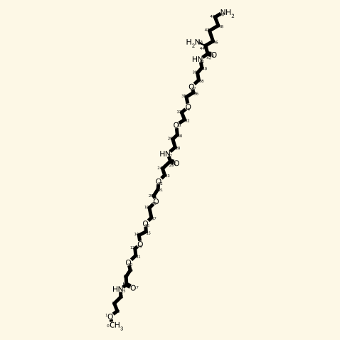 COCCCNC(=O)CCOCCOCCOCCOCCOCCC(=O)NCCCOCCOCCOCCCNC(=O)[C@@H](N)CCCCN